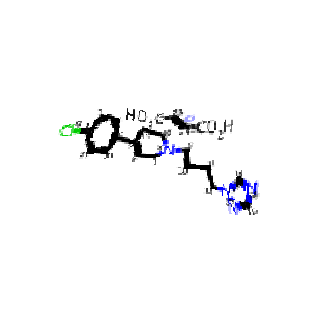 Clc1ccc(C2=CCN(CCCCn3cncn3)CC2)cc1.O=C(O)/C=C/C(=O)O